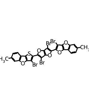 Cc1ccc2c(c1)oc1c(Br)c(-c3oc4c(Br)c(-c5sc6c(oc7cc(C)ccc76)c5Br)oc4c3Br)oc12